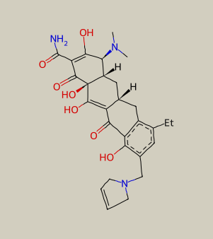 CCc1cc(CN2CC=CC2)c(O)c2c1C[C@H]1C[C@H]3[C@H](N(C)C)C(O)=C(C(N)=O)C(=O)[C@@]3(O)C(O)=C1C2=O